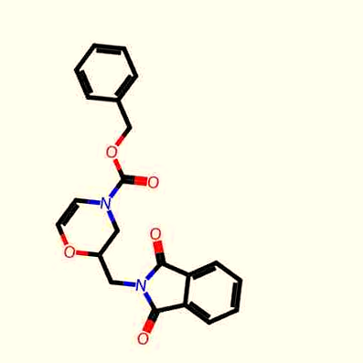 O=C(OCc1ccccc1)N1C=COC(CN2C(=O)c3ccccc3C2=O)C1